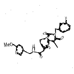 COc1ccc(CNC(=O)c2cn3c(=O)n(Cc4cccc(F)c4)c(=O)c(C)c3s2)cn1